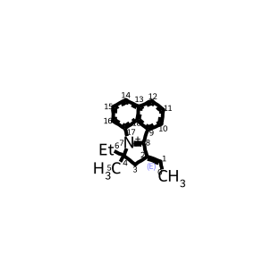 C/C=C1\CC(C)(CC)[N+]2=C1c1cccc3cccc2c13